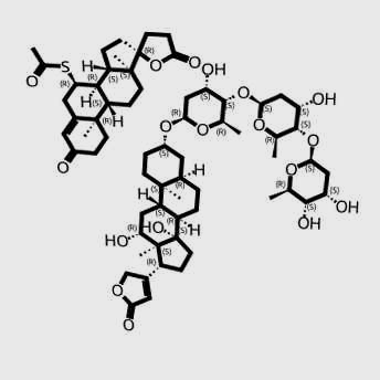 CC(=O)S[C@@H]1CC2=CC(=O)CC[C@]2(C)[C@H]2CC[C@@]3(C)[C@@H](CC[C@@]34CCC(=O)O4)[C@H]12.C[C@H]1O[C@@H](O[C@H]2[C@@H](O)C[C@H](O[C@H]3[C@@H](O)C[C@H](O[C@H]4CC[C@@]5(C)[C@H](CC[C@@H]6[C@@H]5C[C@@H](O)[C@]5(C)[C@@H](C7=CC(=O)OC7)CC[C@]65O)C4)O[C@@H]3C)O[C@@H]2C)C[C@H](O)[C@@H]1O